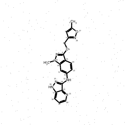 Cc1cc(COc2nn(C)c3cc(Nc4n[nH]c5cccnc45)ccc23)no1